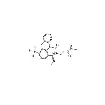 C/N=C(/NCC[S+]([O-])NC)c1ccc(C(F)(F)F)cc1N(C=O)c1ccccc1C